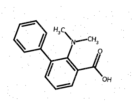 CN(C)c1c(C(=O)O)cccc1-c1ccccc1